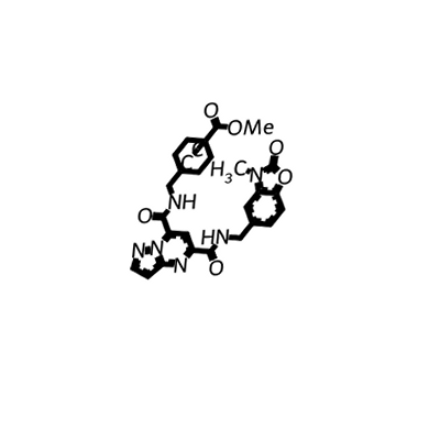 COC(=O)C12CCC(CNC(=O)c3cc(C(=O)NCc4ccc5oc(=O)n(C)c5c4)nc4ccnn34)(CC1)CC2